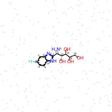 N[C@@H](c1nc2cc(F)ccc2[nH]1)[C@@H](O)[C@@H](O)[C@H](O)CO